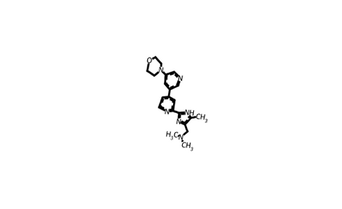 Cc1[nH]c(-c2cc(-c3cncc(N4CCOCC4)c3)ccn2)nc1CN(C)C